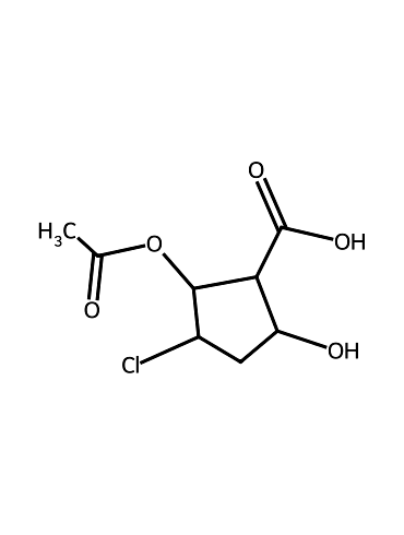 CC(=O)OC1C(Cl)CC(O)C1C(=O)O